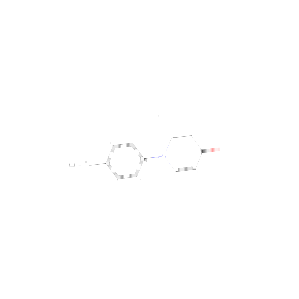 CCOC(=O)[C@@H]1CC(=O)C=CN1c1ccc(OC)cc1